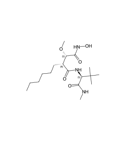 CCCCCC[C@@H](C(=O)N[C@H](C(=O)NC)C(C)(C)C)[C@H](OC)C(=O)NO